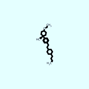 C#CC1(c2ccc(CCC3CCC(CCC=C)CC3)cc2)CCC(OCC)CC1